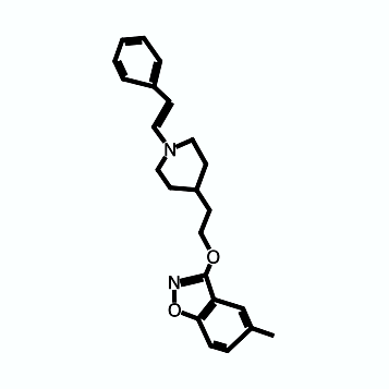 Cc1ccc2onc(OCCC3CCN(C=Cc4ccccc4)CC3)c2c1